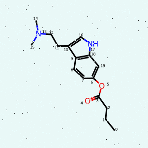 CCCC(=O)Oc1ccc2c(CCN(C)C)c[nH]c2c1